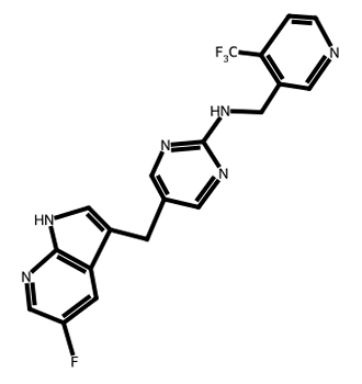 Fc1cnc2[nH]cc(Cc3cnc(NCc4cnccc4C(F)(F)F)nc3)c2c1